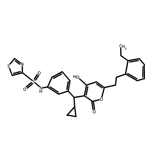 CCc1ccccc1CCc1cc(O)c(C(c2cccc(NS(=O)(=O)c3cscn3)c2)C2CC2)c(=O)o1